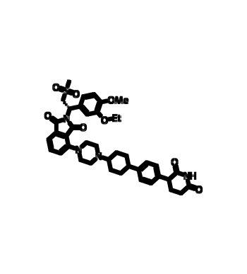 CCOc1cc([C@@H](CS(C)(=O)=O)N2C(=O)c3cccc(N4CCN(C5CCC(c6ccc(C7CCC(=O)NC7=O)cc6)CC5)CC4)c3C2=O)ccc1OC